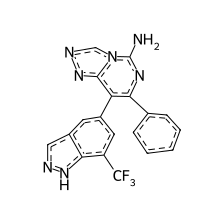 Nc1nc(-c2ccccc2)c(-c2cc(C(F)(F)F)c3[nH]ncc3c2)c2nncn12